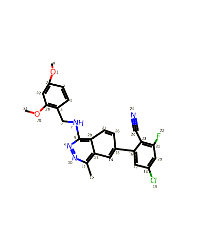 COc1ccc(CNc2nnc(C)c3cc(-c4cc(Cl)cc(F)c4C#N)ccc23)c(OC)c1